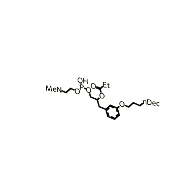 CCCCCCCCCCCCCOc1cccc(CC(COP(O)OCCNC)OC(=O)CC)c1